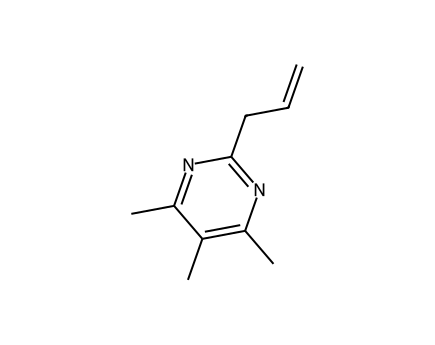 C=CCc1nc(C)c(C)c(C)n1